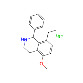 CCc1ccc(OC)c2c1C(c1ccccc1)NCC2.Cl